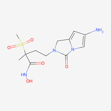 CC(CCN1Cc2cc(N)cn2C1=O)(C(=O)NO)S(C)(=O)=O